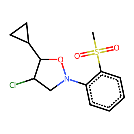 CS(=O)(=O)c1ccccc1N1C[C](Cl)C(C2CC2)O1